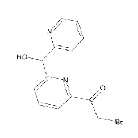 O=C(CBr)c1cccc(C(O)c2ccccn2)n1